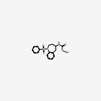 CC(C)(C)OC(=O)NC1CCN(S(=O)(=O)c2ccccc2)c2ccccc2C1